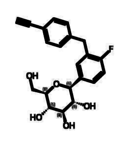 C#Cc1ccc(Cc2cc([C@@H]3O[C@H](CO)[C@@H](O)[C@H](O)[C@H]3O)ccc2F)cc1